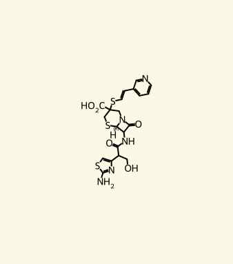 Nc1nc(C(CO)C(=O)NC2C(=O)N3CC(SC=Cc4cccnc4)(C(=O)O)CS[C@H]23)cs1